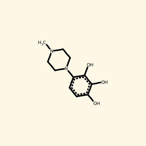 CN1CCN(c2ccc(O)c(O)c2O)CC1